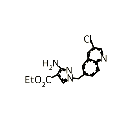 CCOC(=O)c1cn(Cc2ccc3ncc(Cl)cc3c2)nc1N